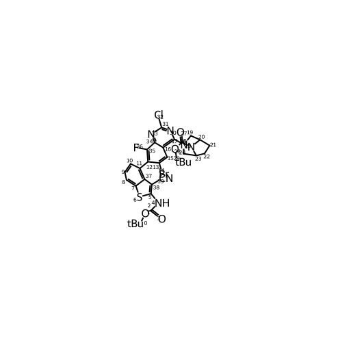 CC(C)(C)OC(=O)Nc1sc2cccc(-c3c(Br)cc4c(N5CC6CCC(C5)N6C(=O)OC(C)(C)C)nc(Cl)nc4c3F)c2c1C#N